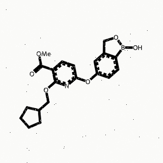 COC(=O)c1ccc(Oc2ccc3c(c2)COB3O)nc1OCC1CCCC1